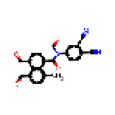 Cc1ccc(C=O)c2c(C=O)ccc(C(=O)N(C=O)c3ccc(C#N)c(C#N)c3)c12